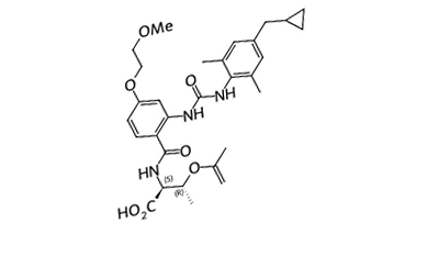 C=C(C)O[C@H](C)[C@H](NC(=O)c1ccc(OCCOC)cc1NC(=O)Nc1c(C)cc(CC2CC2)cc1C)C(=O)O